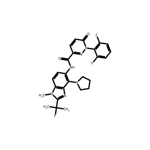 Cn1c(C(C)(C)F)nc2c(N3CCCC3)c(NC(=O)c3ccc(=O)n(-c4c(F)cccc4F)n3)ccc21